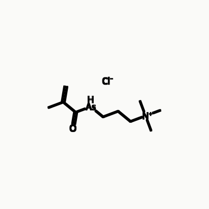 C=C(C)C(=O)[AsH]CCC[N+](C)(C)C.[Cl-]